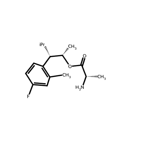 Cc1cc(F)ccc1[C@H](C(C)C)[C@H](C)OC(=O)[C@H](C)N